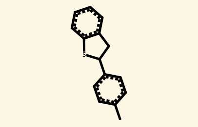 Cc1ccc(C2Cc3ccccc3S2)cc1